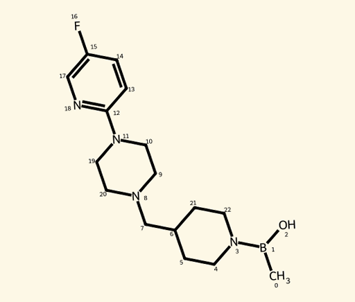 CB(O)N1CCC(CN2CCN(c3ccc(F)cn3)CC2)CC1